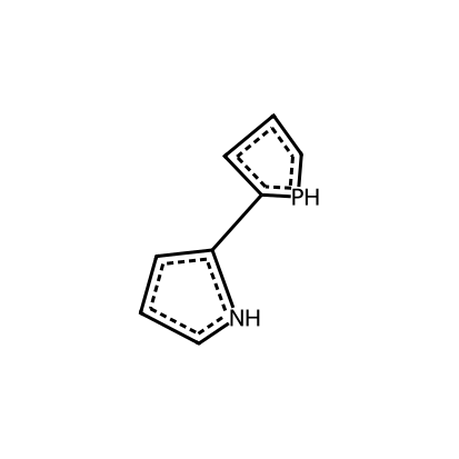 c1c[nH]c(-c2ccc[pH]2)c1